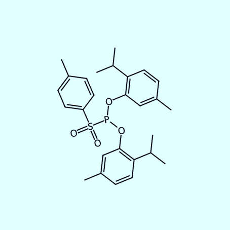 Cc1ccc(S(=O)(=O)P(Oc2cc(C)ccc2C(C)C)Oc2cc(C)ccc2C(C)C)cc1